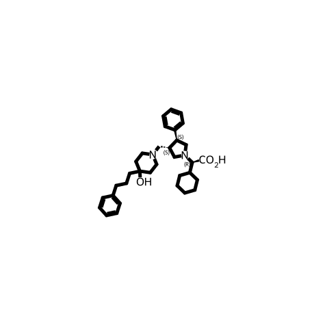 O=C(O)[C@@H](C1CCCCC1)N1C[C@H](CN2CCC(O)(CCCc3ccccc3)CC2)[C@@H](c2ccccc2)C1